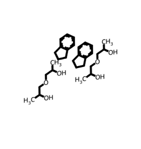 CC(O)COCC(C)O.CC(O)COCC(C)O.c1ccc2c(c1)CCC2.c1ccc2c(c1)CCC2